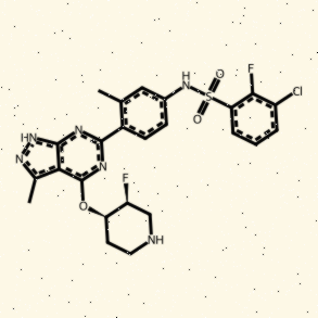 Cc1cc(NS(=O)(=O)c2cccc(Cl)c2F)ccc1-c1nc(O[C@@H]2CCNC[C@@H]2F)c2c(C)n[nH]c2n1